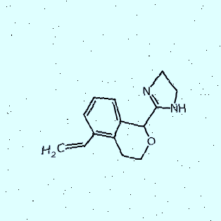 C=Cc1cccc2c1CCOC2C1=NCCN1